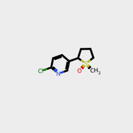 C=S1(=O)CCCC1c1ccc(Cl)nc1